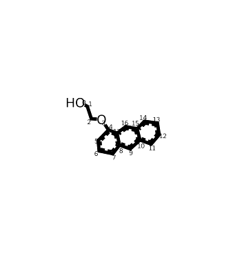 OCCOc1cccc2cc3ccccc3cc12